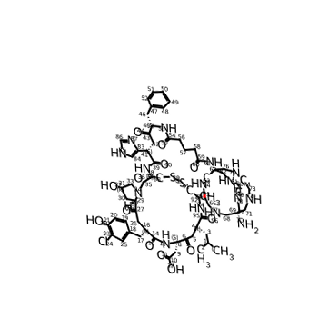 CC(C)C[C@@H]1CC(=O)[C@H](CC(=O)O)NC(=O)[C@H](Cc2ccc(O)c(Cl)c2)CC(=O)[C@@H]2C[C@@H](O)CN2C(=O)[C@@H](NC(=O)[C@@H](CC(=O)[C@H](Cc2ccccc2)NC(=O)CCCC(=O)N[C@]23CNCCNC[C@](N)(CNCCNC2)CNCCNC3)c2c[nH]cn2)CSSC[C@@H](C)NC1=O